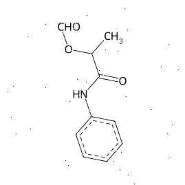 CC(OC=O)C(=O)Nc1ccccc1